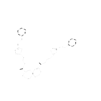 O=C(CCCN1CC[C@@H](OCc2ccccc2)C1)N1CCCC2(CCCN(C(=O)CCCN3CC[C@@H](OCc4ccccc4)C3)C2)C1